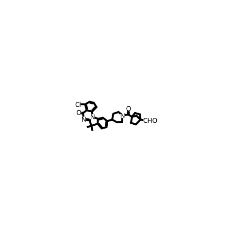 CC1(C)c2ccc(C3CCN(C(=O)C45CCC(C=O)(CC4)C5)CC3)cc2-n2c1nc(=O)c1c(Cl)cccc12